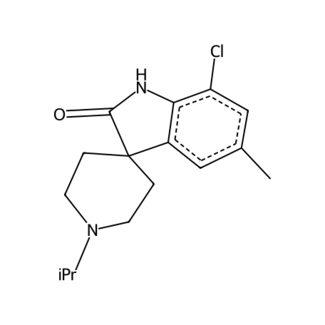 Cc1cc(Cl)c2c(c1)C1(CCN(C(C)C)CC1)C(=O)N2